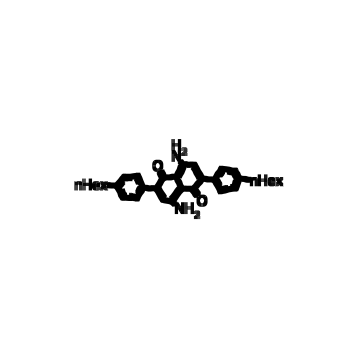 CCCCCCc1ccc(C2=CC(N)=C3C(=O)C(c4ccc(CCCCCC)cc4)=CC(N)=C3C2=O)cc1